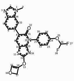 Cn1cnc2ccc(-c3cc4sc(OC5=COC5)nc4n(-c4ccc(OC(F)F)cc4)c3=O)cc21